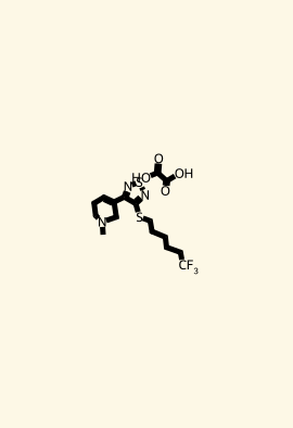 CN1CCC=C(c2nsnc2SCCCCCC(F)(F)F)C1.O=C(O)C(=O)O